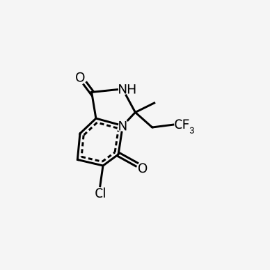 CC1(CC(F)(F)F)NC(=O)c2ccc(Cl)c(=O)n21